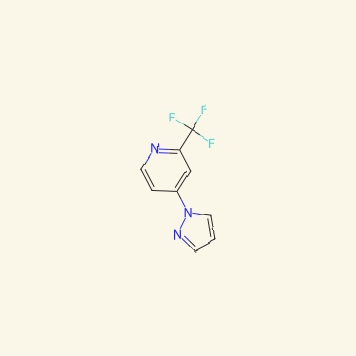 FC(F)(F)c1cc(-n2cccn2)ccn1